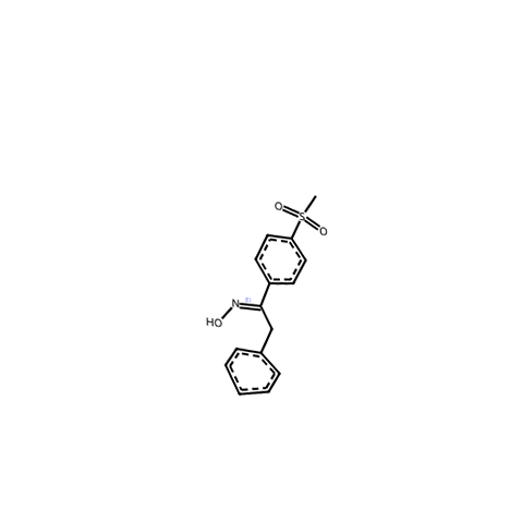 CS(=O)(=O)c1ccc(/C(Cc2ccccc2)=N/O)cc1